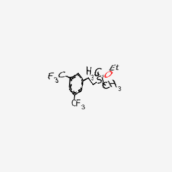 CCO[Si](C)(C)CCc1cc(C(F)(F)F)cc(C(F)(F)F)c1